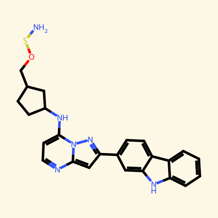 NSOCC1CCC(Nc2ccnc3cc(-c4ccc5c(c4)[nH]c4ccccc45)nn23)C1